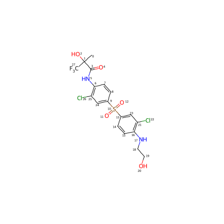 CC(O)(C(=O)Nc1ccc(S(=O)(=O)c2ccc(NCCO)c(Cl)c2)cc1Cl)C(F)(F)F